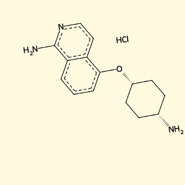 Cl.Nc1nccc2c(O[C@H]3CC[C@@H](N)CC3)cccc12